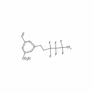 C=Cc1cc(CCC(F)(F)C(F)(F)C(F)(F)C(F)(F)F)cc(C(=O)OCC)c1